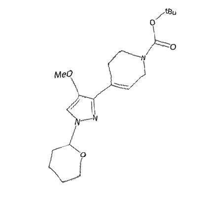 COc1cn(C2CCCCO2)nc1C1=CCN(C(=O)OC(C)(C)C)CC1